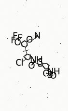 CC(C)(c1cc(Cl)cc(NC(=O)c2cc3cc(NS(C)(=O)=O)ccc3s2)c1)c1cc(OCC#N)cc(OC(F)(F)F)c1